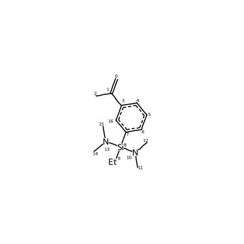 C=C(C)c1cccc([Si](CC)(N(C)C)N(C)C)c1